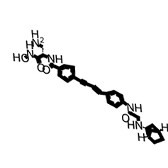 NC[C@H](NC(=O)c1ccc(C#CC#Cc2ccc(NC(=O)CN[C@@H]3C[C@@H]4CC[C@@H]3C4)cc2)cc1)C(=O)NO